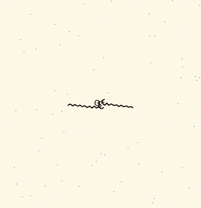 CCCCCCCCCCCCCC(CC)[S+]([O-])C(CC)CCCCCCCCCCCCC